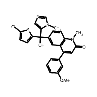 COc1cccc(-c2cc(=O)n(C)c3ccc(C(O)(c4ccc(Cl)s4)c4cncn4C)cc23)c1